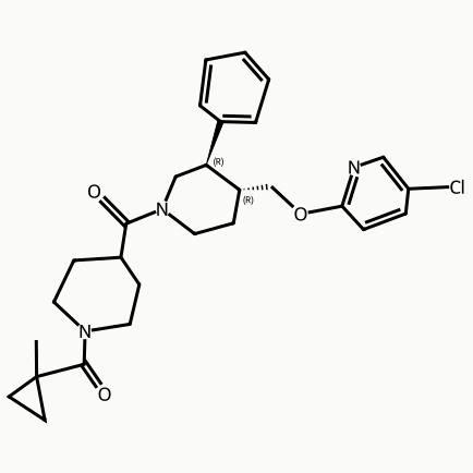 CC1(C(=O)N2CCC(C(=O)N3CC[C@@H](COc4ccc(Cl)cn4)[C@H](c4ccccc4)C3)CC2)CC1